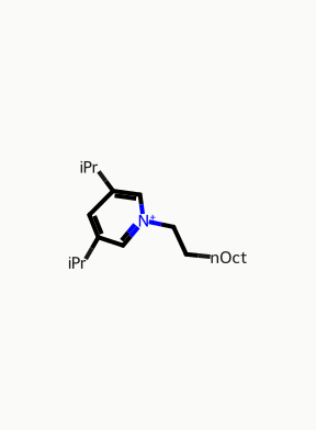 CCCCCCCCCC[n+]1cc(C(C)C)cc(C(C)C)c1